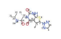 Cc1c(-n2nccn2)sc2[nH]c(=O)n([C@@H](C)C(=O)N(C)C(C)C)c(=O)c12